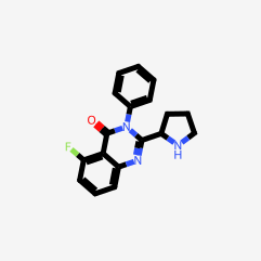 O=c1c2c(F)cccc2nc(C2CCCN2)n1-c1ccccc1